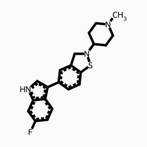 CN1CCC(N2Cc3cc(-c4c[nH]c5cc(F)ccc45)ccc3S2)CC1